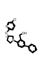 OCc1cc(-c2ccccc2)ccc1N1CC[C@H](Oc2ccc(Cl)cn2)C1